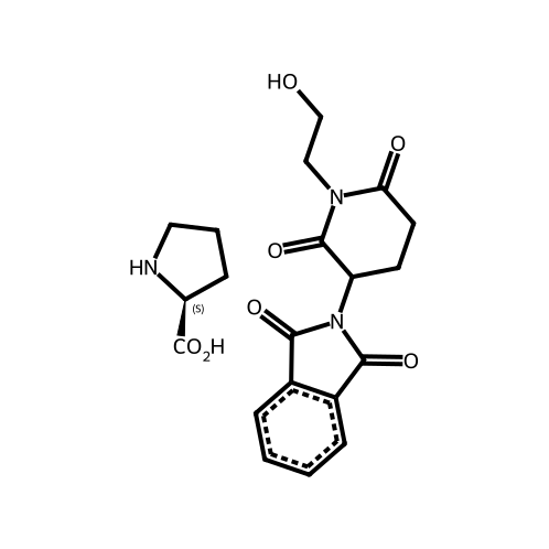 O=C(O)[C@@H]1CCCN1.O=C1CCC(N2C(=O)c3ccccc3C2=O)C(=O)N1CCO